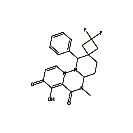 CN1C(=O)c2c(O)c(=O)ccn2N2C1CCC1(CC(F)(F)C1)C2c1ccccc1